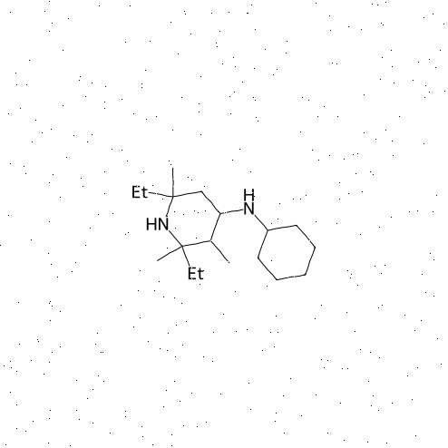 CCC1(C)CC(NC2CCCCC2)C(C)C(C)(CC)N1